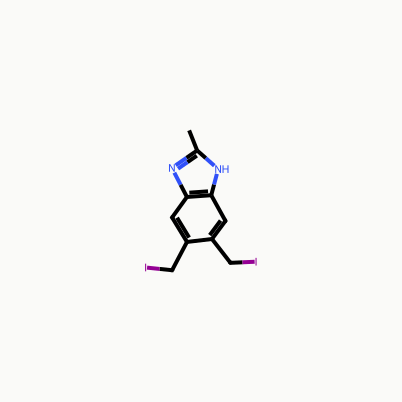 Cc1nc2cc(CI)c(CI)cc2[nH]1